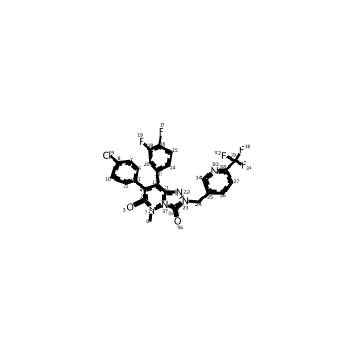 Cn1c(=O)c(-c2ccc(Cl)cc2)c(-c2ccc(F)c(F)c2)c2nn(Cc3ccc(C(F)(F)F)nc3)c(=O)n21